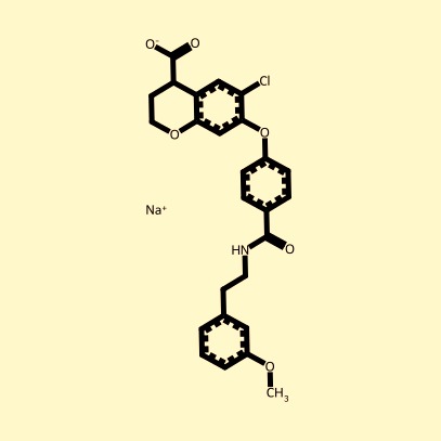 COc1cccc(CCNC(=O)c2ccc(Oc3cc4c(cc3Cl)C(C(=O)[O-])CCO4)cc2)c1.[Na+]